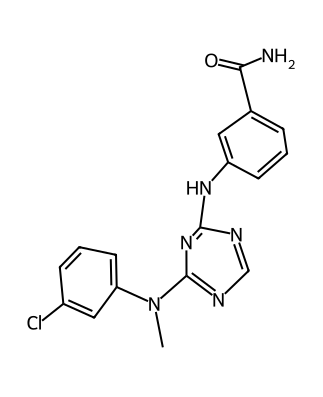 CN(c1cccc(Cl)c1)c1ncnc(Nc2cccc(C(N)=O)c2)n1